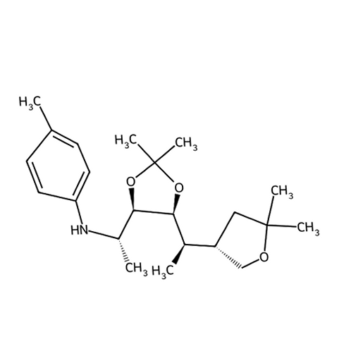 Cc1ccc(N[C@@H](C)[C@H]2OC(C)(C)O[C@H]2[C@H](C)[C@H]2COC(C)(C)C2)cc1